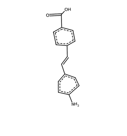 Nc1ccc(/C=C/c2ccc(C(=O)O)cc2)cc1